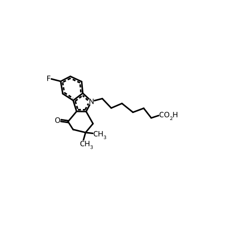 CC1(C)CC(=O)c2c(n(CCCCCCC(=O)O)c3ccc(F)cc23)C1